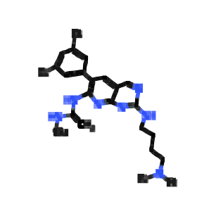 C=C(Nc1nc2nc(NCCCCN(CC)CC)ncc2cc1-c1cc(CC)cc(CC)c1)NC(C)(C)C